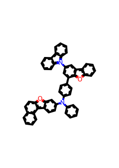 c1ccc(N(c2ccc(-c3cc(-n4c5ccccc5c5ccccc54)cc4c3oc3ccccc34)cc2)c2ccc3c(c2)oc2ccc4ccccc4c23)cc1